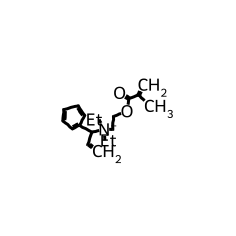 C=CC(c1ccccc1)[N+](CC)(CC)CCOC(=O)C(=C)C